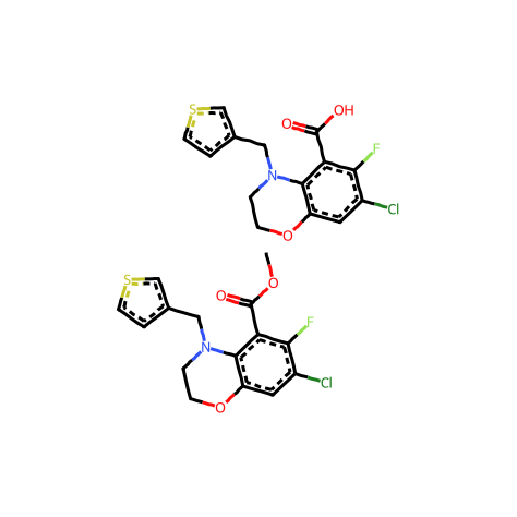 COC(=O)c1c(F)c(Cl)cc2c1N(Cc1ccsc1)CCO2.O=C(O)c1c(F)c(Cl)cc2c1N(Cc1ccsc1)CCO2